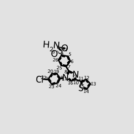 NS(=O)(=O)c1ccc(-c2nc(-c3cccs3)cn2-c2ccc(Cl)cc2)cc1